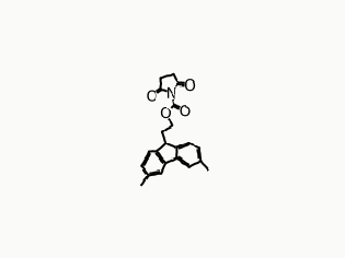 Cc1ccc2c(c1)-c1cc(C)ccc1C2CCOC(=O)N1C(=O)CCC1=O